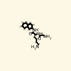 NCCCC[C@H](NC(=O)CN)C(=O)Nc1ccc2ccccc2c1